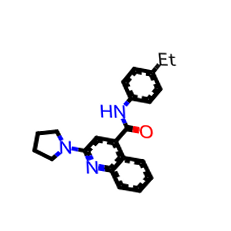 CCc1ccc(NC(=O)c2cc(N3CCCC3)nc3ccccc23)cc1